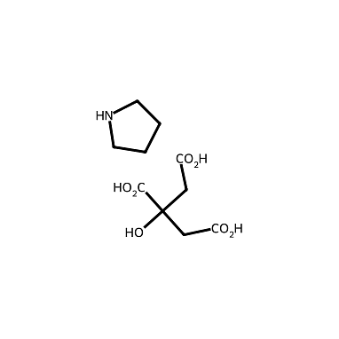 C1CCNC1.O=C(O)CC(O)(CC(=O)O)C(=O)O